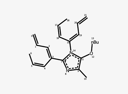 C=C/C=C(\C=C/C)c1nc(C)c(OCCCC)n1C(/C=C\C)=C/C=C